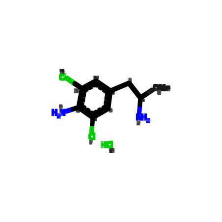 COC(N)Cc1cc(Cl)c(N)c(Cl)c1.Cl